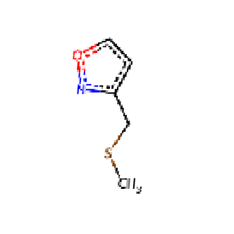 CSCc1ccon1